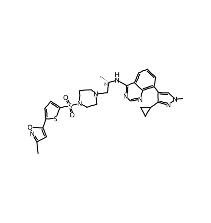 Cc1cc(-c2ccc(S(=O)(=O)N3CCN(C[C@H](C)Nc4ncnc5c(-c6cn(C)nc6C6CC6)cccc45)CC3)s2)on1